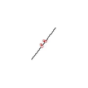 CCCCCCCCCCCCCCCCOC(=O)CCCC(=O)OCCCCCCCCCCCCCCCC